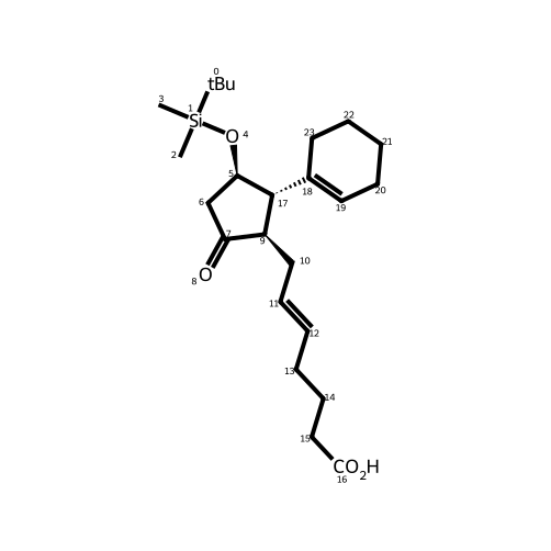 CC(C)(C)[Si](C)(C)O[C@@H]1CC(=O)[C@H](CC=CCCCC(=O)O)[C@H]1C1=CCCCC1